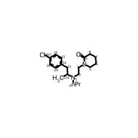 CCCN(CCN1CCCCC1=O)C(C)Cc1ccc(Cl)cc1